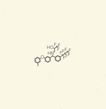 Cc1cccc(Oc2cccc(C(NC[C@@H](O)C(F)(F)F)c3cccc(C(F)(F)C(F)(F)C(F)(F)F)c3)c2)c1